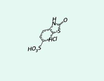 Cl.O=c1[nH]c2ccc(S(=O)(=O)O)cc2s1